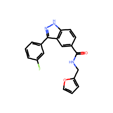 O=C(NCc1ccco1)c1ccc2[nH]nc(-c3cccc(F)c3)c2c1